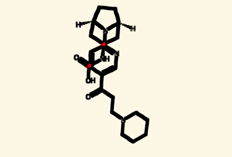 O=C(O)N[C@H]1C[C@H]2CC[C@@H](C1)N2c1ccc(C(=O)CCN2CCCCC2)cn1